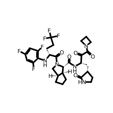 O=C1NCC[C@H]1C[C@H](NC(=O)[C@@H]1[C@H]2CCC[C@H]2CN1C(=O)[C@@H](CCC(F)(F)F)Nc1c(F)cc(F)cc1F)C(=O)C(=O)N1CCC1